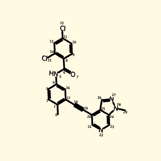 Cc1ccc(NC(=O)c2ccc(Cl)cc2Cl)cc1C#Cc1cncc2c1cnn2C